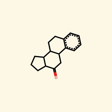 O=C1CC2c3ccccc3CCC2C2CCCC12